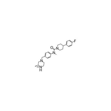 C[C@H]1CN(Cc2ccc(N(C)C(=O)N3CCC(c4ccc(F)cc4)CC3)cc2)CCN1